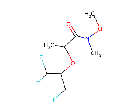 CON(C)C(=O)C(C)OC(CF)C(F)F